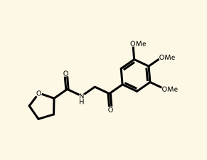 COc1cc(C(=O)CNC(=O)C2CCCO2)cc(OC)c1OC